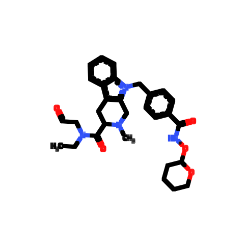 CCN(CC=O)C(=O)C1Cc2c(n(Cc3ccc(C(=O)NOC4CCCCO4)cc3)c3ccccc23)CN1C